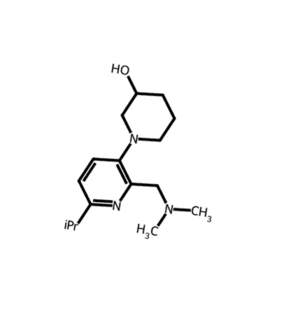 CC(C)c1ccc(N2CCCC(O)C2)c(CN(C)C)n1